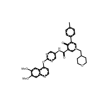 COc1cc2nccc(Oc3ncc(NC(=O)c4cn(CC5CCOCC5)cc(-c5ccc(C)cc5)c4=O)cn3)c2cc1OC